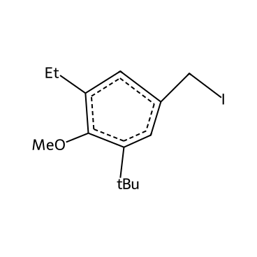 CCc1cc(CI)cc(C(C)(C)C)c1OC